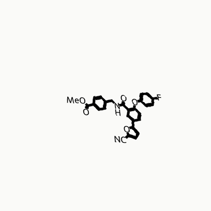 COC(=O)c1ccc(CNC(=O)c2cc(-c3ccc(C#N)o3)ccc2Oc2ccc(F)cc2)cc1